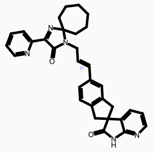 O=C1C(c2ccccn2)=NC2(CCCCCC2)N1C/C=C/c1ccc2c(c1)CC1(C2)C(=O)Nc2ncccc21